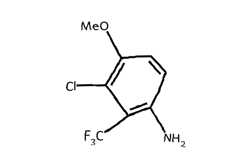 COc1ccc(N)c(C(F)(F)F)c1Cl